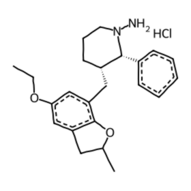 CCOc1cc2c(c(C[C@@H]3CCCN(N)[C@@H]3c3ccccc3)c1)OC(C)C2.Cl